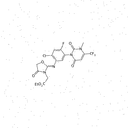 CCOC(=O)CN1C(=O)CO/C1=N\c1cc(-n2c(=O)cc(C(F)(F)F)n(C)c2=O)c(F)cc1Cl